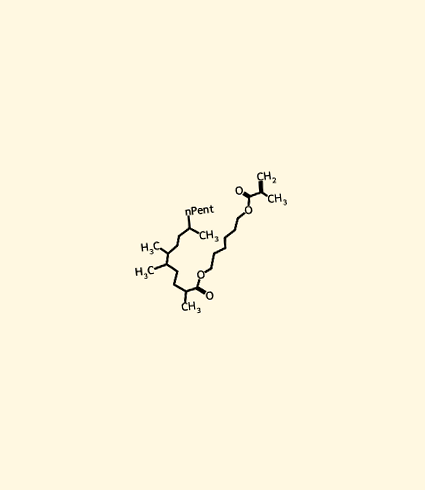 C=C(C)C(=O)OCCCCCCOC(=O)C(C)CCC(C)C(C)CCC(C)CCCCC